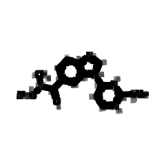 CON(C)C(=O)c1ccc2ncn(-c3ccnc(SC)n3)c2c1